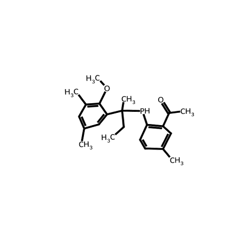 CCC(C)(Pc1ccc(C)cc1C(C)=O)c1cc(C)cc(C)c1OC